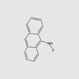 FNc1c2ccccc2cc2ccccc12